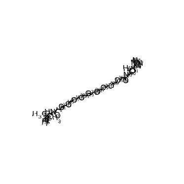 C[N+](C)(CCNC(=O)CCOCCOCCOCCOCCOCCOCCOCCOCCOCCC(=O)NCc1ccc(-c2nncnn2)cc1)C[B-](F)(F)F